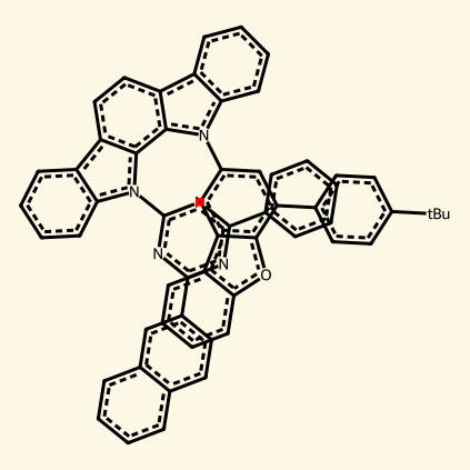 CC(C)(C)c1ccc(-c2cc(-n3c4ccccc4c4ccc5c6ccccc6n(-c6nc(-c7ccccc7)nc(-c7ccc8ccccc8c7)n6)c5c43)cc3c2oc2ccccc23)cc1